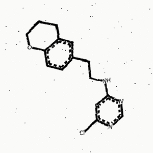 Clc1cc(NCCc2ccc3c(c2)CCCO3)ncn1